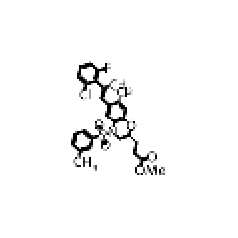 COC(=O)CC[C@H]1CN(S(=O)(=O)c2cccc(C)c2)c2cc(/C=C(\C)c3c(F)cccc3Cl)c(Cl)cc2O1